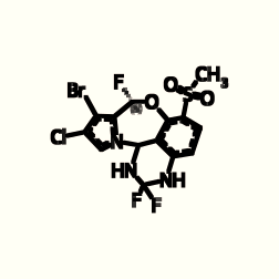 CS(=O)(=O)c1ccc2c3c1O[C@@H](F)c1c(Br)c(Cl)cn1C3NC(F)(F)N2